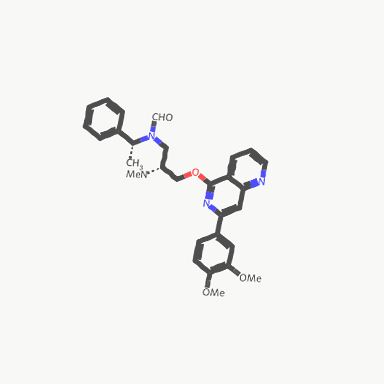 CN[C@@H](COc1nc(-c2ccc(OC)c(OC)c2)cc2ncccc12)CN(C=O)[C@H](C)c1ccccc1